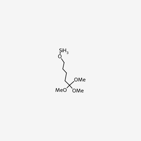 COC(CCCCO[SiH3])(OC)OC